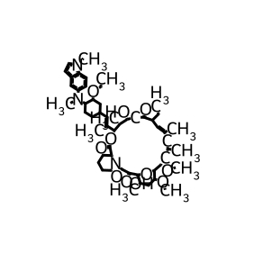 CCOC1CC(C=C(C)C2OC(=O)C3CCCCN3C(=O)C(=O)C3(O)OC(C(OC)CC(C)C/C(C)=C/C(CC)C(=O)CC(O)C2C)C(OC)CC3C)CCC1N(C)c1ccc2c(ccn2C)c1